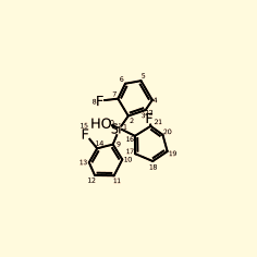 O[Si](c1ccccc1F)(c1ccccc1F)c1ccccc1F